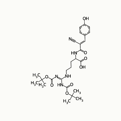 CC(C)(C)OC(=O)N=C(NCCCC(NC(=O)/C(C#N)=C/c1ccc(O)cc1)C(=O)O)NC(=O)OC(C)(C)C